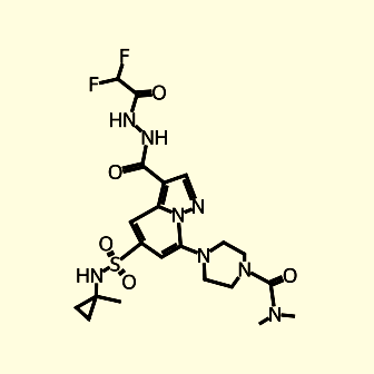 CN(C)C(=O)N1CCN(c2cc(S(=O)(=O)NC3(C)CC3)cc3c(C(=O)NNC(=O)C(F)F)cnn23)CC1